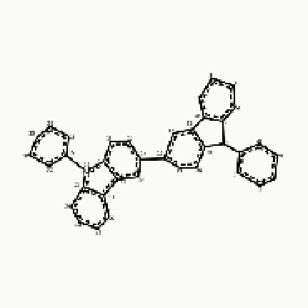 c1ccc(C2c3ccccc3-c3cc(-c4ccc5c(c4)c4ccccc4n5-c4ccccc4)ccc32)cc1